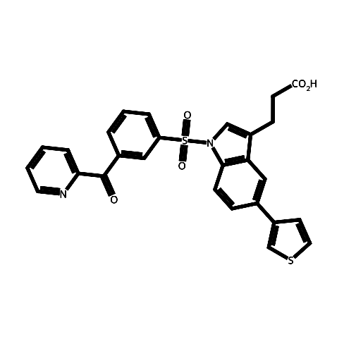 O=C(O)CCc1cn(S(=O)(=O)c2cccc(C(=O)c3ccccn3)c2)c2ccc(-c3ccsc3)cc12